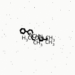 CC(CC(C)(C)N1CCCC(c2ccccc2)C1)Oc1ccc(C(C)C)cn1